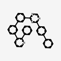 c1ccc(-c2ccc(-c3ncnc(-c4cccc(-c5cccc(-c6cccnc6-c6ccccc6)c5)c4)n3)cc2)cc1